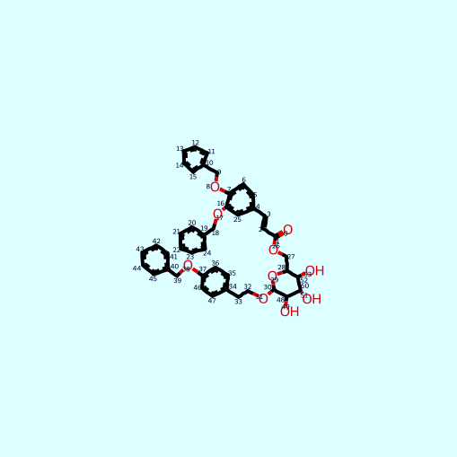 O=C(/C=C/c1ccc(OCc2ccccc2)c(OCc2ccccc2)c1)OCC1OC(OCCc2ccc(OCc3ccccc3)cc2)C(O)C(O)C1O